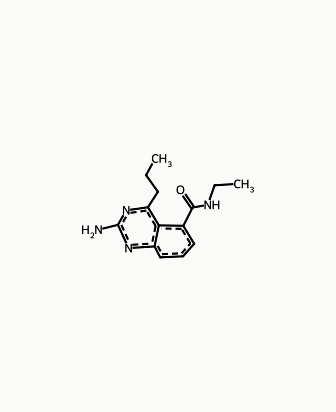 CCCc1nc(N)nc2cccc(C(=O)NCC)c12